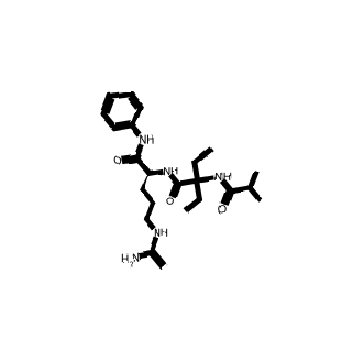 C=C(N)NCCC[C@H](NC(=O)C(CC)(CC)NC(=O)C(C)C)C(=O)Nc1ccccc1